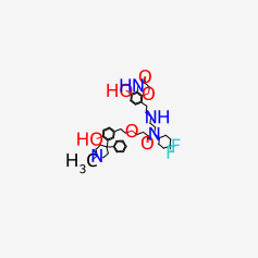 CN1CCC(c2ccccc2)(c2cc(CCOCCC(=O)N(CCNCCc3ccc(O)c4c3OCC(=O)N4)C3CCC(F)(F)CC3)ccc2O)CC1